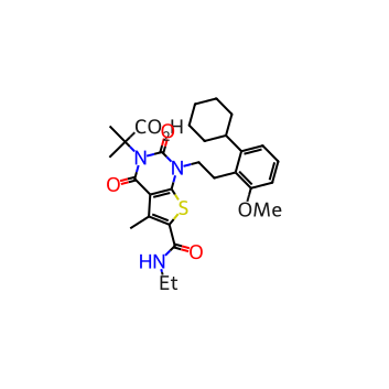 CCNC(=O)c1sc2c(c1C)c(=O)n(C(C)(C)C(=O)O)c(=O)n2CCc1c(OC)cccc1C1CCCCC1